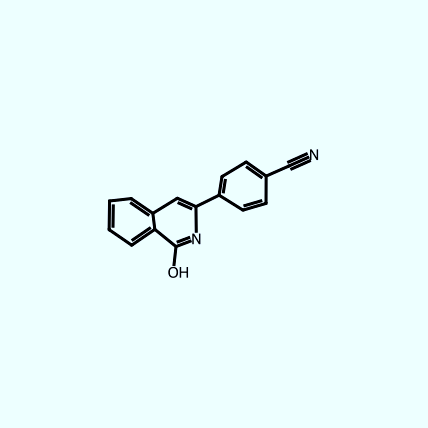 N#Cc1ccc(-c2cc3ccccc3c(O)n2)cc1